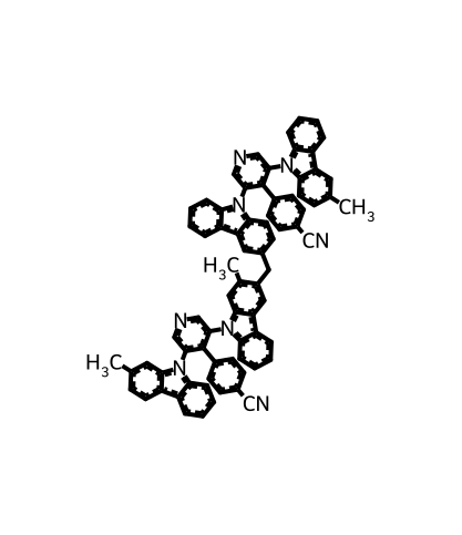 Cc1ccc2c(c1)c1ccccc1n2-c1cncc(-n2c3ccccc3c3cc(Cc4cc5c6ccccc6n(-c6cncc(-n7c8ccccc8c8ccc(C)cc87)c6-c6ccc(C#N)cc6)c5cc4C)ccc32)c1-c1ccc(C#N)cc1